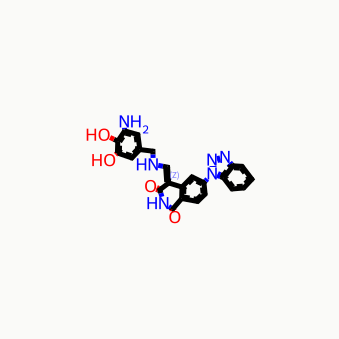 Nc1cc(CN/C=C2\C(=O)NC(=O)c3ccc(-n4nnc5ccccc54)cc32)cc(O)c1O